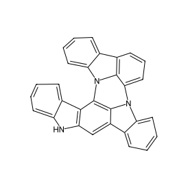 c1ccc2c(c1)[nH]c1cc3c4ccccc4n4c5cccc6c7ccccc7n(c65)c(c12)c34